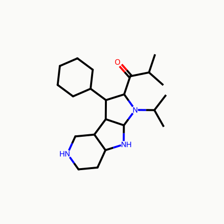 CC(C)C(=O)C1C(C2CCCCC2)C2C3CNCCC3NC2N1C(C)C